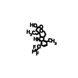 CCC1(CC(=O)O)OCCc2c1[nH]c1c(OCC(F)(F)F)ccc(C)c21